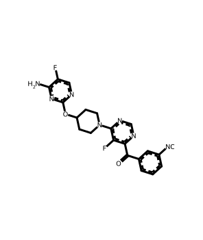 [C-]#[N+]c1cccc(C(=O)c2ncnc(N3CCC(Oc4ncc(F)c(N)n4)CC3)c2F)c1